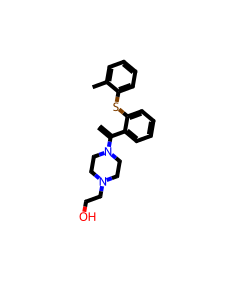 C=C(c1ccccc1Sc1ccccc1C)N1CCN(CCO)CC1